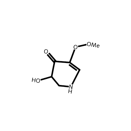 COOC1=CNCC(O)C1=O